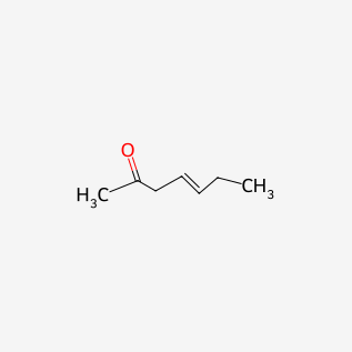 CC/C=C/CC(C)=O